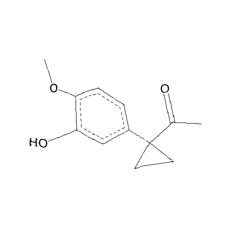 COc1ccc(C2(C(C)=O)CC2)cc1O